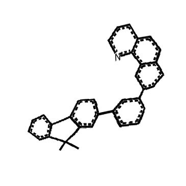 CC1(C)c2ccccc2-c2ccc(-c3cccc(-c4ccc5ccc6cccnc6c5c4)c3)cc21